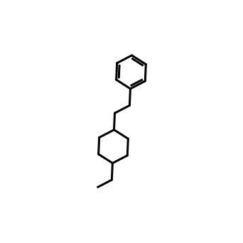 CCC1CCC(CCc2ccccc2)CC1